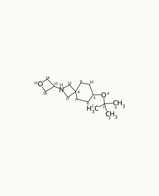 CC(C)(C)OC1CCC2(CC1)CN(C1COC1)C2